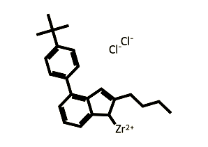 CCCCC1=Cc2c(-c3ccc(C(C)(C)C)cc3)cccc2[CH]1[Zr+2].[Cl-].[Cl-]